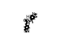 CN(C1=N/C(=C\c2ccc3ncsc3c2)C(=O)N1)c1ccc2ncsc2c1